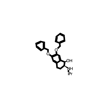 CC(C)N[C@H]1CCc2cc(OCc3ccccc3)c(OCc3ccccc3)cc2[C@H]1O